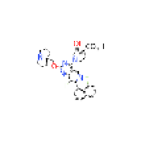 O=C(O)[C@@H]1CCN(c2nc(OCC34CCCN3CCC4)nc3c(F)c(-c4cccc5cccc(F)c45)ncc23)C[C@@H]1O